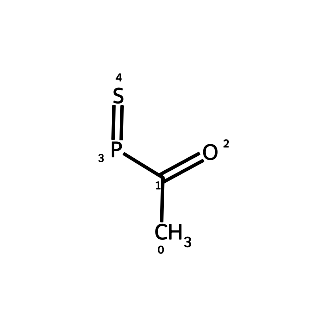 CC(=O)P=S